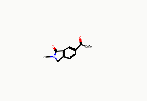 COC(=O)c1ccc2c(c1)C(=O)N(C(C)C)C2